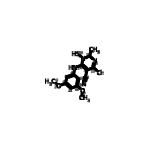 COc1cc(NC2=C(C#N)C(Cl)=NC(C)N2S)cc(OC)c1